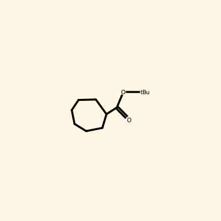 CC(C)(C)OC(=O)C1CCCCCC1